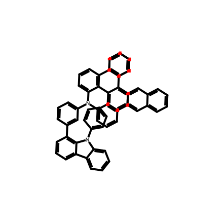 c1ccc(-c2ccccc2-c2c(-c3ccccc3)cccc2N(c2cccc(-c3ccc4ccccc4c3)c2)c2cccc(-c3cccc4c5ccccc5n(-c5ccccc5)c34)c2)cc1